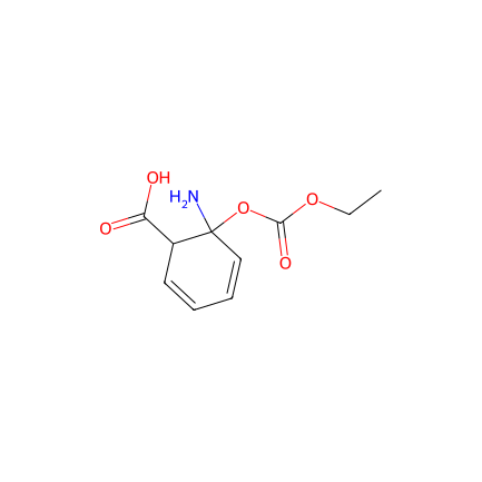 CCOC(=O)OC1(N)C=CC=CC1C(=O)O